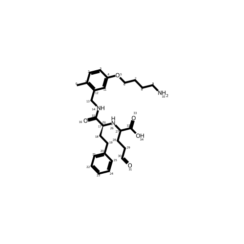 Cc1ccc(OCCCCN)cc1CNC(=O)[C@H](CCc1ccccc1)NC(CCC=O)C(=O)O